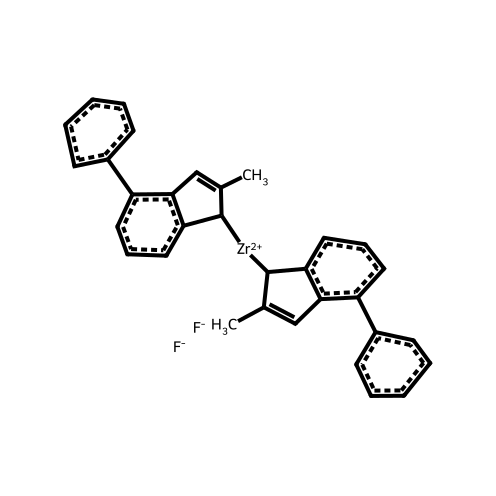 CC1=Cc2c(-c3ccccc3)cccc2[CH]1[Zr+2][CH]1C(C)=Cc2c(-c3ccccc3)cccc21.[F-].[F-]